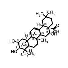 CC1(C)CC[C@]2(C(=O)O)[C@H](O)C[C@]3(C)C(=CC[C@@H]4[C@@]5(C)C[C@H](O)[C@H](O)C(C)(C)[C@@H]5CC[C@]43C)[C@@H]2C1